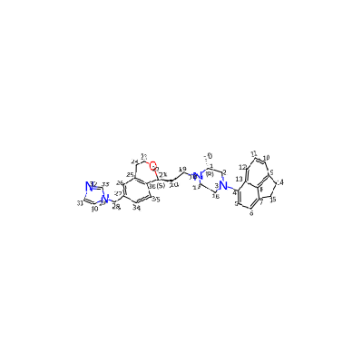 C[C@@H]1CN(c2ccc3c4c(cccc24)CC3)CCN1CC[C@@H]1OCCc2cc(Cn3ccnc3)ccc21